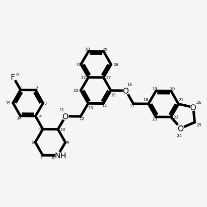 Fc1ccc(C2CCNCC2OCc2cc(OCc3ccc4c(c3)OCO4)c3ccccc3c2)cc1